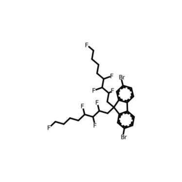 FCCCCC(F)C(F)C(F)CC1(CC(F)C(F)C(F)CCCCF)c2cc(Br)ccc2-c2ccc(Br)cc21